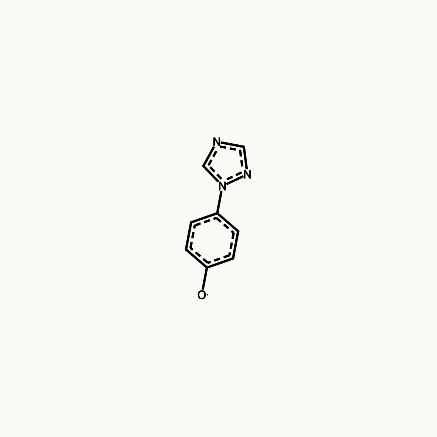 [O]c1ccc(-n2cncn2)cc1